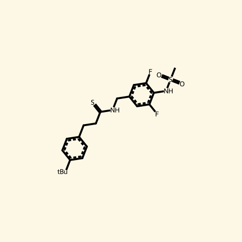 CC(C)(C)c1ccc(CCC(=S)NCc2cc(F)c(NS(C)(=O)=O)c(F)c2)cc1